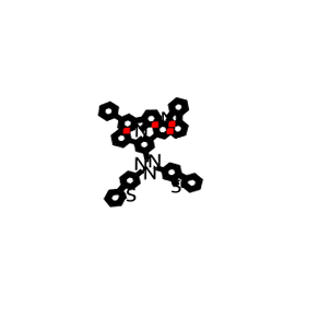 c1ccc(-c2ccc3c(c2)c2ccc(-n4c5ccccc5c5ccccc54)cc2n3-c2c(-c3ccccc3)cc(-c3nc(-c4ccc5c(c4)sc4ccccc45)nc(-c4ccc5c(c4)sc4ccccc45)n3)cc2-c2ccccc2)cc1